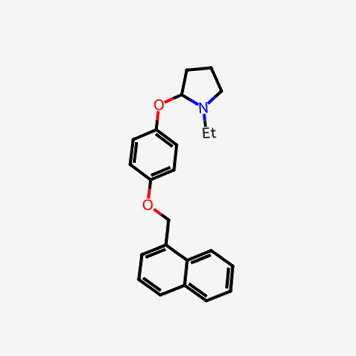 CCN1CCCC1Oc1ccc(OCc2cccc3ccccc23)cc1